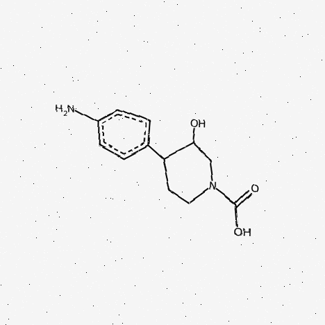 Nc1ccc(C2CCN(C(=O)O)CC2O)cc1